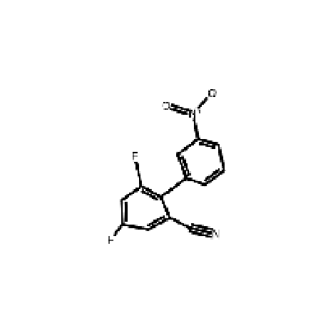 N#Cc1cc(F)cc(F)c1-c1cccc([N+](=O)[O-])c1